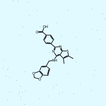 Cc1sc2nc(-c3ccc(C(=O)O)cc3)nc(NCc3ccc4c(c3)OCO4)c2c1C